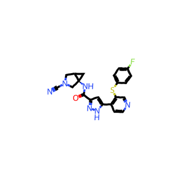 N#CN1CC2C[C@]2(NC(=O)c2cc(-c3ccncc3Sc3ccc(F)cc3)[nH]n2)C1